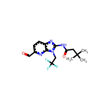 CC(C)(C)CC(=O)Nc1nc2ccc(C=O)nc2n1CC(F)(F)F